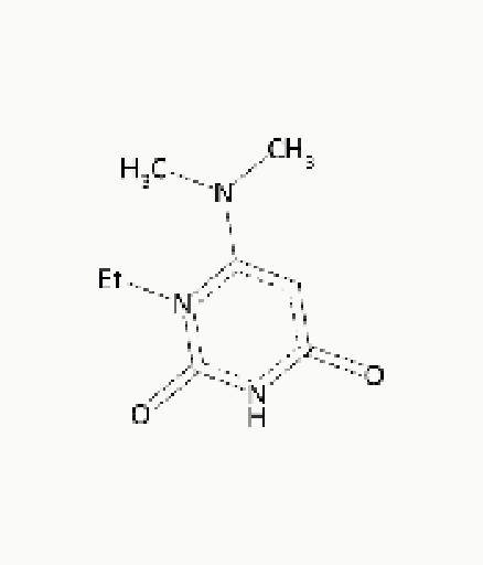 CCn1c(N(C)C)cc(=O)[nH]c1=O